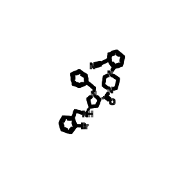 N#Cc1ccccc1N1CCN(C(=O)[C@@H]2C[C@H](NCc3ccccc3Br)CN2Cc2ccccc2)CC1